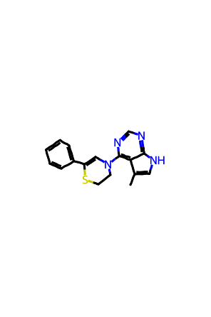 Cc1c[nH]c2ncnc(N3C=C(c4ccccc4)SCC3)c12